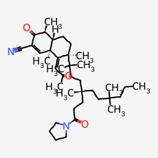 CCCC(C)(C)CC[C@](C)(CCC(=O)N1CCCC1)CCC(C)(C)[C@]1(C)CC[C@H]2[C@H](C)C(=O)C(C#N)=C[C@]2(C)/C1=C/C(C)=O